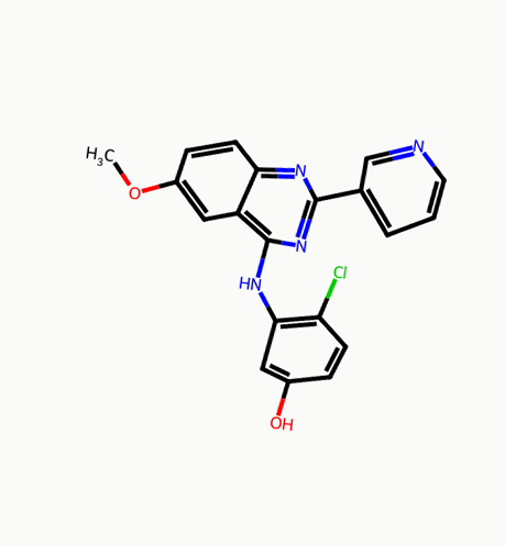 COc1ccc2nc(-c3cccnc3)nc(Nc3cc(O)ccc3Cl)c2c1